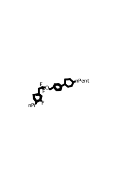 CCCCCC1CCC(c2ccc(COC(F)(F)Cc3ccc(CCC)c(F)c3)cc2)CC1